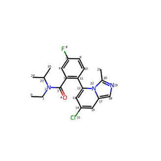 CCN(C(=O)c1cc(F)ccc1-c1cc(Cl)cc2cnc(C)n12)C(C)C